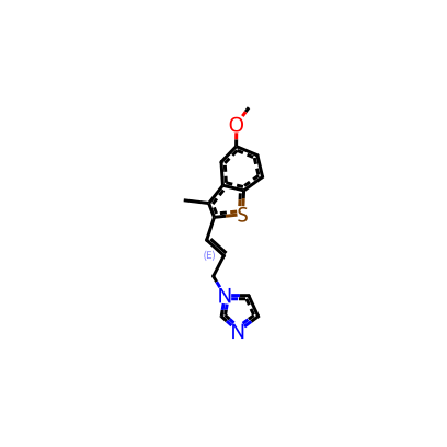 COc1ccc2sc(/C=C/Cn3ccnc3)c(C)c2c1